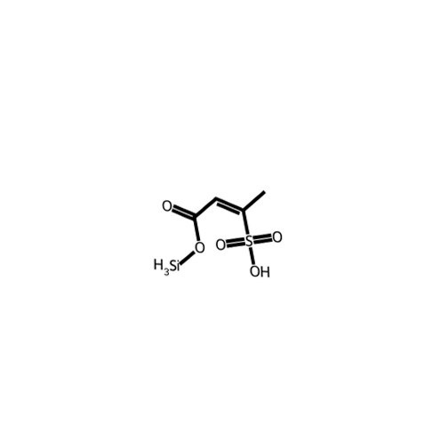 CC(=CC(=O)O[SiH3])S(=O)(=O)O